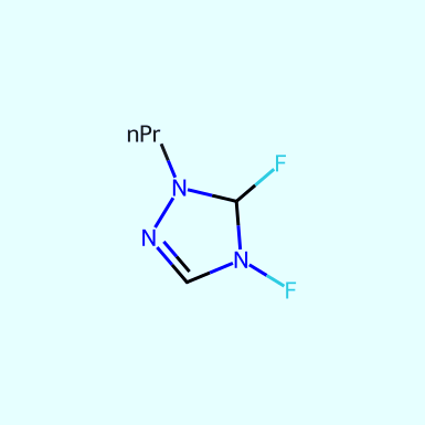 CCCN1N=CN(F)C1F